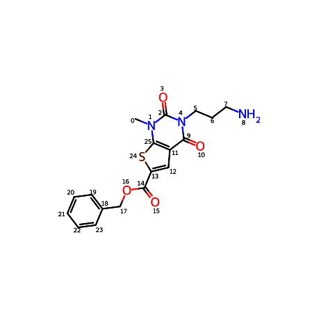 Cn1c(=O)n(CCCN)c(=O)c2cc(C(=O)OCc3ccccc3)sc21